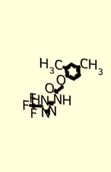 Cc1ccc(OCC(=O)Nc2nnc(C(F)(F)F)[nH]2)c(C)c1